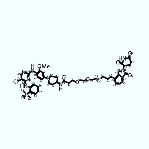 COc1cc(N2CCC(NC(=O)CCOCCOCCOCCCc3cccc4c3CN(C3CCC(=O)NC3=O)C4=O)CC2)ccc1Nc1ncc(Cl)c(Nc2ccccc2P(C)(C)=O)n1